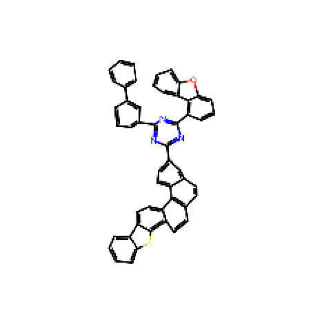 c1ccc(-c2cccc(-c3nc(-c4ccc5c(ccc6ccc7c(ccc8c9ccccc9sc87)c65)c4)nc(-c4cccc5oc6ccccc6c45)n3)c2)cc1